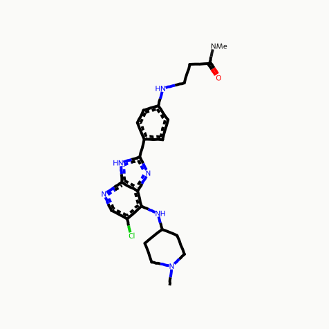 CNC(=O)CCNc1ccc(-c2nc3c(NC4CCN(C)CC4)c(Cl)cnc3[nH]2)cc1